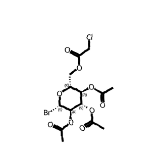 CC(=O)O[C@@H]1[C@@H](OC(C)=O)[C@H](Br)O[C@H](COC(=O)CCl)[C@H]1OC(C)=O